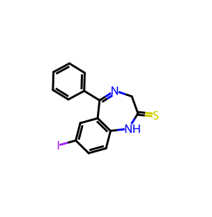 S=C1CN=C(c2ccccc2)c2cc(I)ccc2N1